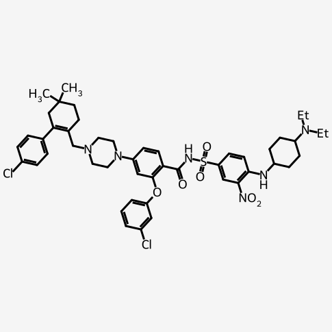 CCN(CC)C1CCC(Nc2ccc(S(=O)(=O)NC(=O)c3ccc(N4CCN(CC5=C(c6ccc(Cl)cc6)CC(C)(C)CC5)CC4)cc3Oc3cccc(Cl)c3)cc2[N+](=O)[O-])CC1